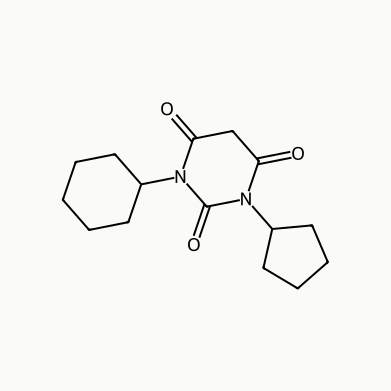 O=C1CC(=O)N(C2CCCC2)C(=O)N1C1CCCCC1